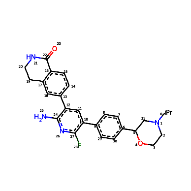 CC(C)N1CCOC(c2ccc(-c3cc(-c4ccc5c(c4)CCNC5=O)c(N)nc3F)cc2)C1